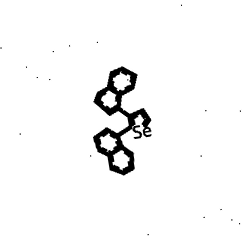 c1ccc2c(-c3cc[se]c3-c3cccc4ccccc34)cccc2c1